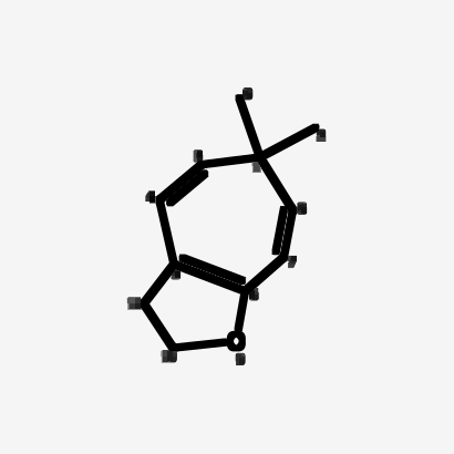 CC1(C)C=CC2=C(C=C1)OCC2